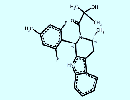 Cc1cc(F)c([C@@H]2c3[nH]c4ccccc4c3C[C@@H](C)N2C(=O)C(C)(C)O)c(F)c1